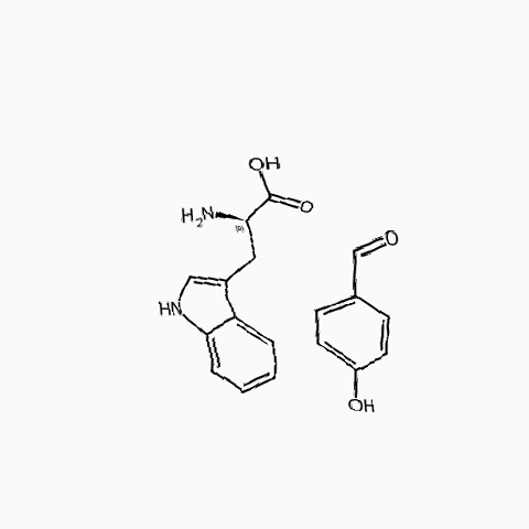 N[C@H](Cc1c[nH]c2ccccc12)C(=O)O.O=Cc1ccc(O)cc1